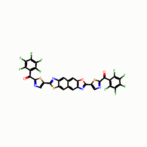 O=C(c1ncc(-c2nc3cc4cc5sc(-c6cnc(C(=O)c7c(F)c(F)c(F)c(F)c7F)s6)nc5cc4cc3o2)s1)c1c(F)c(F)c(F)c(F)c1F